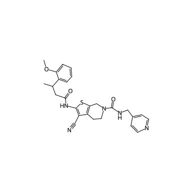 COc1ccccc1C(C)CC(=O)Nc1sc2c(c1C#N)CCN(C(=O)NCc1ccncc1)C2